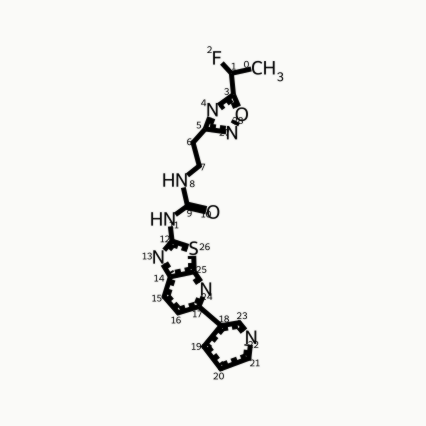 CC(F)c1nc(CCNC(=O)Nc2nc3ccc(-c4cccnc4)nc3s2)no1